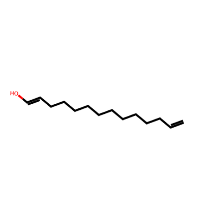 C=CCCCCCCCCCCC=CO